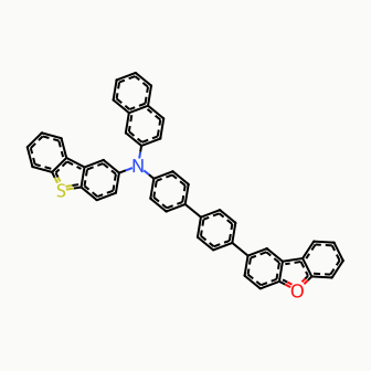 c1ccc2cc(N(c3ccc(-c4ccc(-c5ccc6oc7ccccc7c6c5)cc4)cc3)c3ccc4sc5ccccc5c4c3)ccc2c1